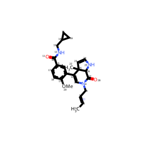 C/C=C/CN1C=C(c2cc(C(=O)NCC3CC3)ccc2OC)C2(C)C=CNC2C1=O